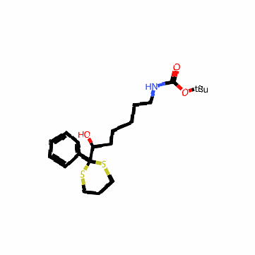 CC(C)(C)OC(=O)NCCCCCC(O)C1(c2ccccc2)SCCCS1